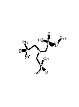 O=P(O)(O)CN(CP(=O)(O)O)CP(=O)(O)OO